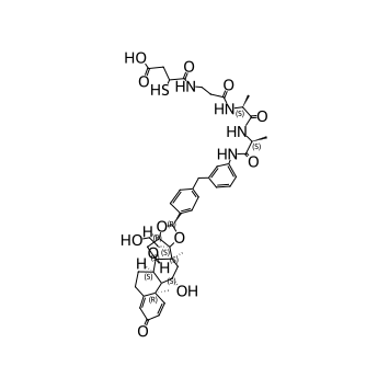 C[C@H](NC(=O)CCNC(=O)C(S)CC(=O)O)C(=O)N[C@@H](C)C(=O)Nc1cccc(Cc2ccc([C@@H]3O[C@@H]4C[C@H]5[C@@H]6CCC7=CC(=O)C=C[C@]7(C)C6[C@@H](O)C[C@]5(C)[C@]4(C(=O)CO)O3)cc2)c1